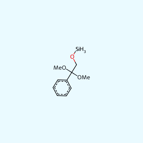 COC(CO[SiH3])(OC)c1ccccc1